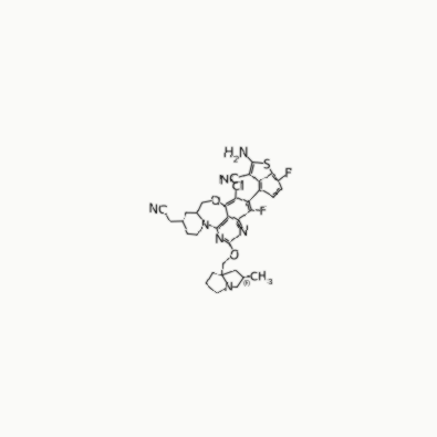 C[C@H]1CN2CCCC2(COc2nc3c4c(c(Cl)c(-c5ccc(F)c6sc(N)c(C#N)c56)c(F)c4n2)OCC2CC(CC#N)CCN32)C1